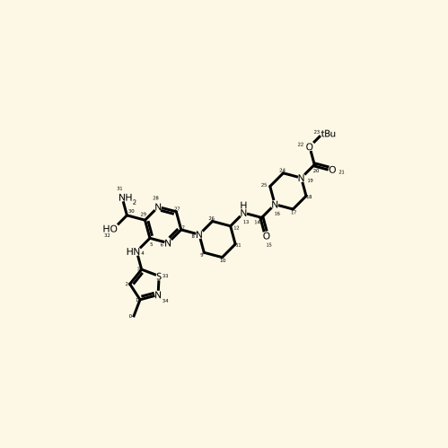 Cc1cc(Nc2nc(N3CCCC(NC(=O)N4CCN(C(=O)OC(C)(C)C)CC4)C3)cnc2C(N)O)sn1